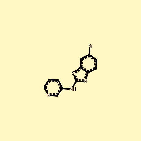 Brc1ccc2nc(Nc3cccnc3)sc2c1